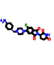 N[C@H]1CC[C@H](CN2CCN(c3cc4c(cc3F)C(=O)N(C3CCC(=O)NC3=O)C4=O)CC2)CC1